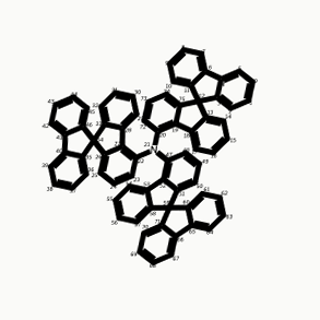 c1ccc2c(c1)-c1ccccc1C21c2ccccc2-c2c(N(c3cccc4c3-c3ccccc3C43c4ccccc4-c4ccccc43)c3cccc4c3-c3ccccc3C43c4ccccc4-c4ccccc43)cccc21